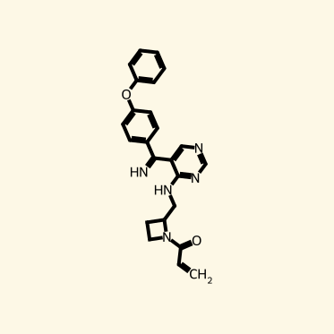 C=CC(=O)N1CCC1CNc1ncncc1C(=N)c1ccc(Oc2ccccc2)cc1